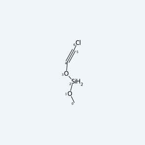 CO[SiH2]OC#CCl